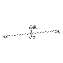 CCCCCCCCCCCCN(CCCCCCCCCCCC)C([O-])=S.NC([O-])=S.[Cu+2]